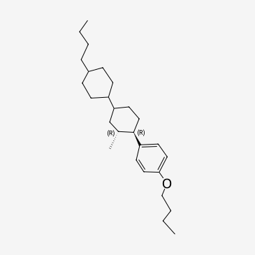 CCCCOc1ccc([C@@H]2CCC(C3CCC(CCCC)CC3)C[C@H]2C)cc1